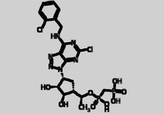 C[C@H](OP(=O)(O)CP(=O)(O)O)[C@H]1C[C@@H](n2nnc3c(NCc4ccccc4Cl)nc(Cl)nc32)[C@H](O)[C@@H]1O